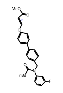 CCCCC(=O)N(Cc1ccc(-c2ccc(O/C=C/C(=O)OC)cc2)cc1)c1cccc(F)c1